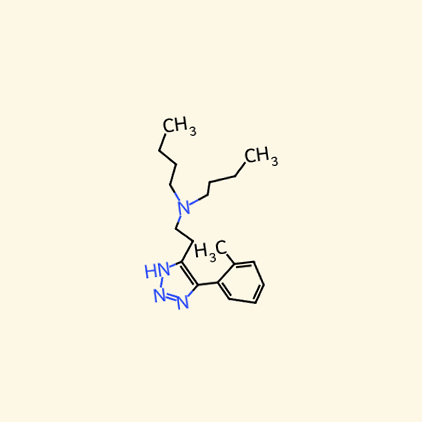 CCCCN(CCCC)CCc1[nH]nnc1-c1ccccc1C